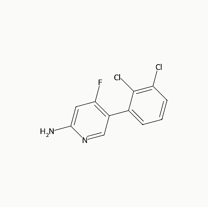 Nc1cc(F)c(-c2cccc(Cl)c2Cl)cn1